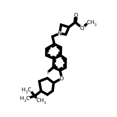 COC(=O)C1CN(Cc2ccc3c(I)c(OC4CCC(C(C)(C)C)CC4)ccc3c2)C1